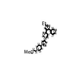 CCn1cc(C2=NCN(c3cnn(C4CCN(CCOC)CC4)c3)C=C2)c(-c2cccnc2)n1